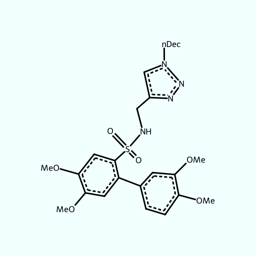 CCCCCCCCCCn1cc(CNS(=O)(=O)c2cc(OC)c(OC)cc2-c2ccc(OC)c(OC)c2)nn1